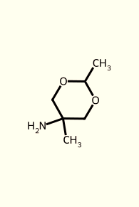 CC1OCC(C)(N)CO1